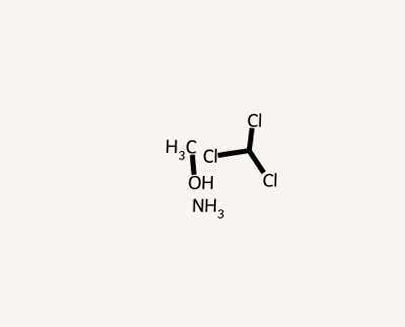 CO.ClC(Cl)Cl.N